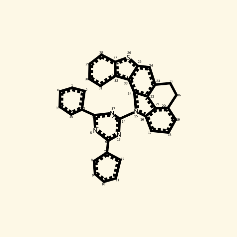 c1ccc(-c2nc(-c3ccccc3)nc(-n3c4cccc5c4c4c(cc6sc7ccccc7c6c43)CC5)n2)cc1